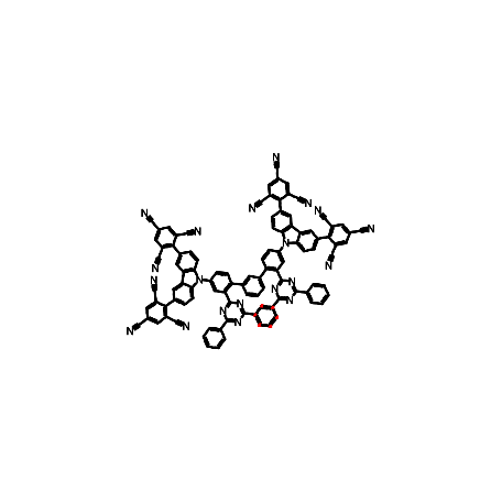 N#Cc1cc(C#N)c(-c2ccc3c(c2)c2cc(-c4c(C#N)cc(C#N)cc4C#N)ccc2n3-c2ccc(-c3cccc(-c4ccc(-n5c6ccc(-c7c(C#N)cc(C#N)cc7C#N)cc6c6cc(-c7c(C#N)cc(C#N)cc7C#N)ccc65)cc4-c4nc(-c5ccccc5)nc(-c5ccccc5)n4)c3)c(-c3nc(-c4ccccc4)nc(-c4ccccc4)n3)c2)c(C#N)c1